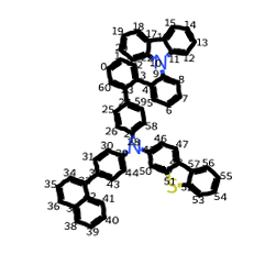 c1ccc(-c2ccccc2-n2c3ccccc3c3ccccc32)c(-c2ccc(N(c3ccc(-c4cccc5ccccc45)cc3)c3ccc4c(c3)sc3ccccc34)cc2)c1